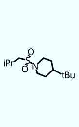 CC(C)CS(=O)(=O)N1CCC(C(C)(C)C)CC1